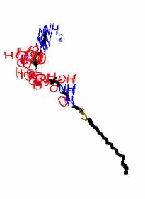 CCCCCCCCCCCCC=CC=CSCCNC(=O)CCNC(=O)[C@H](O)C(C)(C)COP(=O)(O)OP(=O)(O)OC[C@H]1O[C@@H](n2cnc3c(N)ncnc32)[C@H](O)[C@@H]1OP(=O)(O)O